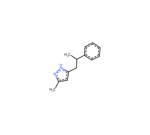 Cc1cc(CC(C)c2ccccc2)[nH]n1